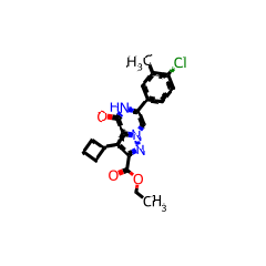 CCOC(=O)c1nn2cc(-c3ccc(Cl)c(C)c3)[nH]c(=O)c2c1C1CCC1